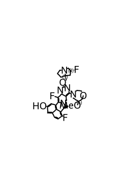 C#Cc1c(F)ccc2cc(O)cc(-c3ncc4c(N5CCOC[C@@H](OC)C5)nc(OC[C@@]56CCCN5C[C@H](F)C6)nc4c3F)c12